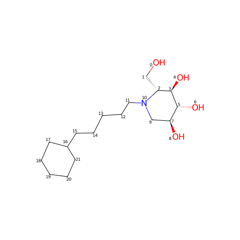 OC[C@@H]1[C@@H](O)[C@H](O)[C@@H](O)CN1CCCCCC1CCCCC1